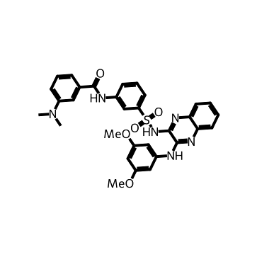 COc1cc(Nc2nc3ccccc3nc2NS(=O)(=O)c2cccc(NC(=O)c3cccc(N(C)C)c3)c2)cc(OC)c1